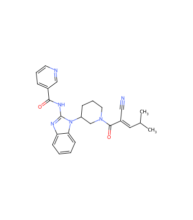 CC(C)/C=C(\C#N)C(=O)N1CCCC(n2c(NC(=O)c3cccnc3)nc3ccccc32)C1